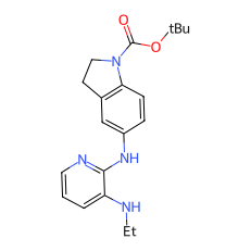 CCNc1cccnc1Nc1ccc2c(c1)CCN2C(=O)OC(C)(C)C